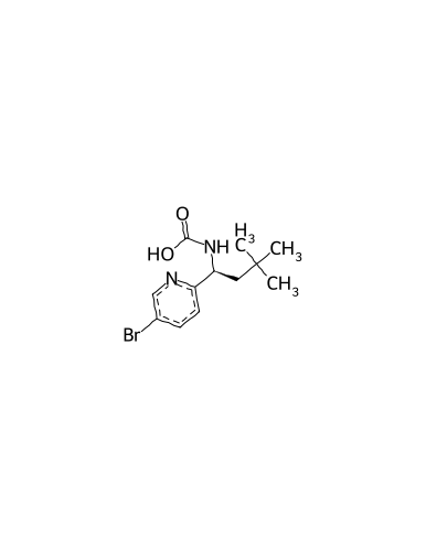 CC(C)(C)C[C@H](NC(=O)O)c1ccc(Br)cn1